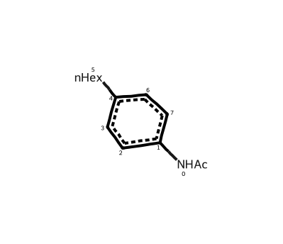 [CH2]C(=O)Nc1ccc(CCCCCC)cc1